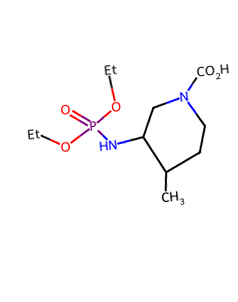 CCOP(=O)(NC1CN(C(=O)O)CCC1C)OCC